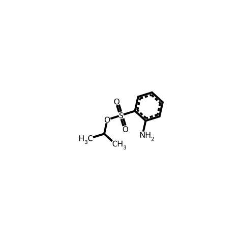 CC(C)OS(=O)(=O)c1ccccc1N